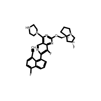 C#Cc1ccc(F)c2cccc(-c3ncc4c(N5CCNCC5)nc(OC[C@@]56CCCN5C[C@H](F)C6)nc4c3F)c12